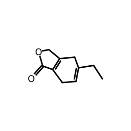 CCC1=CCC2=C(COC2=O)C1